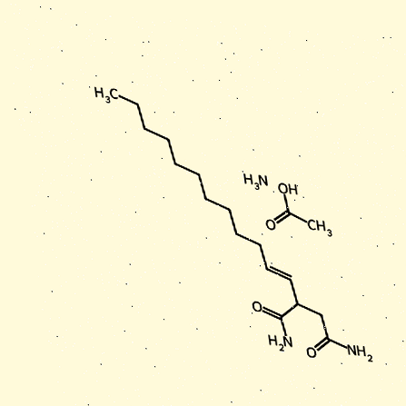 CC(=O)O.CCCCCCCCCCC=CC(CC(N)=O)C(N)=O.N